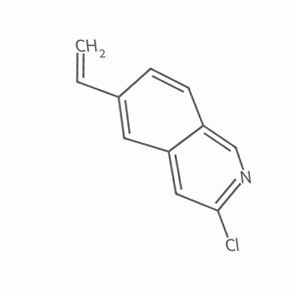 C=Cc1ccc2cnc(Cl)cc2c1